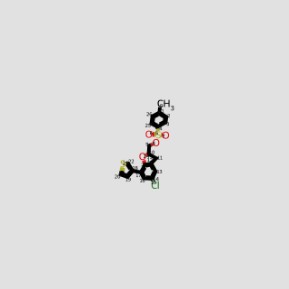 Cc1ccc(S(=O)(=O)OCC2Cc3cc(Cl)cc(-c4ccsc4)c3O2)cc1